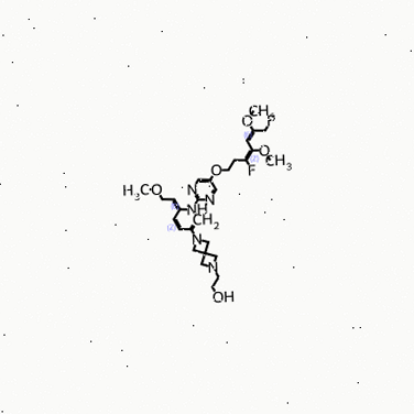 C=C(/C=C\C(=C/COC)Nc1ncc(OCC/C(F)=C(\C=C(/CF)OC)OC)cn1)N1CC2(CN(CCO)C2)C1